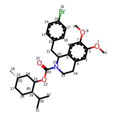 COc1cc2c(cc1OC)C(Cc1ccc(Br)cc1)N(C(=O)OC1C[C@@H](C)CC[C@@H]1C(C)C)CC2